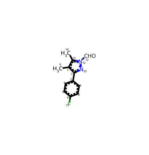 Cc1c(-c2ccc(F)cc2)nn(C=O)c1C